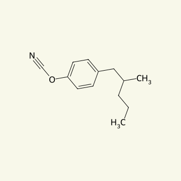 CCCC(C)Cc1ccc(OC#N)cc1